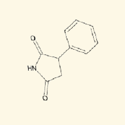 O=C1CC(c2ccccc2)C(=O)N1